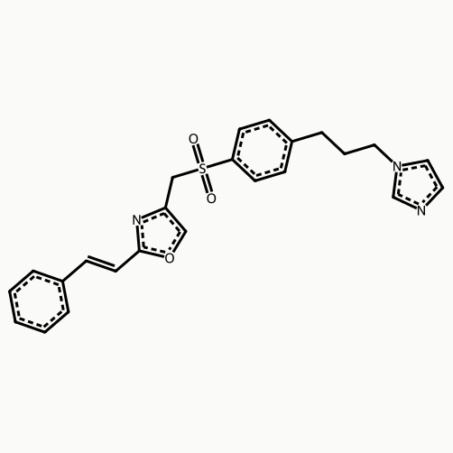 O=S(=O)(Cc1coc(/C=C/c2ccccc2)n1)c1ccc(CCCn2ccnc2)cc1